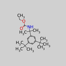 CCOC(=O)NC(C)(C)c1cc(C(C)(C)C)cc(C(C)(C)C)c1